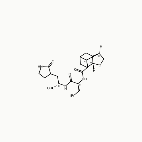 CC(C)C[C@H](NC(=O)C[C@H]1C2CC[C@H]3OC[C@@H]1C3C2)C(=O)N[C@H](C=O)CC1CCNC1=O